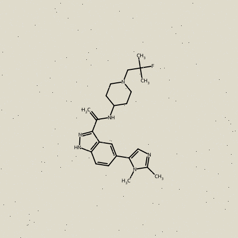 C=C(NC1CCN(CC(C)(C)F)CC1)c1n[nH]c2ccc(-c3cnc(C)n3C)cc12